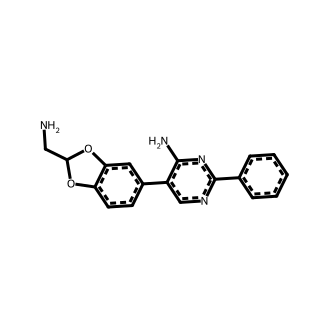 NCC1Oc2ccc(-c3cnc(-c4ccccc4)nc3N)cc2O1